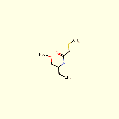 CC[C@@H](COC)NC(=O)CSC